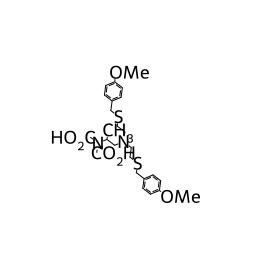 COc1ccc(CSCCN(CCSCc2ccc(OC)cc2)CC(C)N(C(=O)O)C(=O)O)cc1